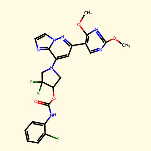 COc1ncc(-c2cc(N3CC(OC(=O)Nc4ccccc4F)C(F)(F)C3)c3nccn3n2)c(OC)n1